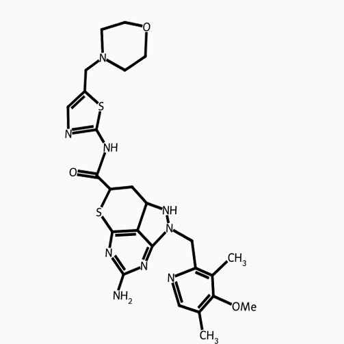 COc1c(C)cnc(CN2NC3CC(C(=O)Nc4ncc(CN5CCOCC5)s4)Sc4nc(N)nc2c43)c1C